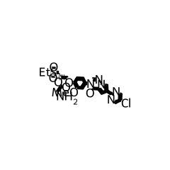 CCS(=O)(=O)C[C@H](COc1ccc(-n2cnn3cc(-c4ncc(Cl)cn4)cc3c2=O)cc1OC)OC(=O)CN